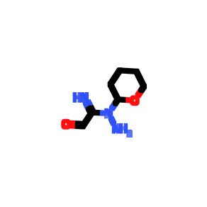 N=C(C=O)N(N)C1CCCCO1